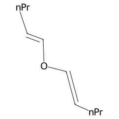 CCCC=COC=CCCC